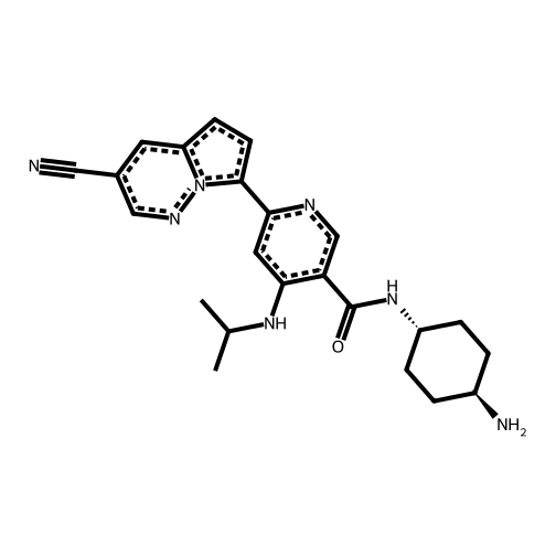 CC(C)Nc1cc(-c2ccc3cc(C#N)cnn23)ncc1C(=O)N[C@H]1CC[C@H](N)CC1